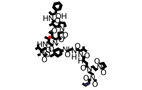 C/C=C\C(=O)N(C=O)CCN(CCN1C(=O)C=CC1=O)C(=O)CCC(=O)NC(C(=O)NCC(=O)Nc1ccc(COC(=O)N(C)C(C(=O)N[C@H](C(=O)N(C)C(C(C)CC)C(CC(=O)N2CCCC2C(OC)C(C)C(=O)NC(C)C(O)c2ccccc2)OC)C(C)C)C(C)C)cc1)C(C)C